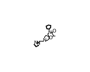 CC1OC2(CCN(CCn3cccn3)CC2)CN(c2ccccc2)C1=O